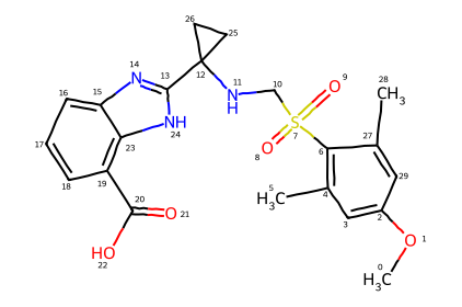 COc1cc(C)c(S(=O)(=O)CNC2(c3nc4cccc(C(=O)O)c4[nH]3)CC2)c(C)c1